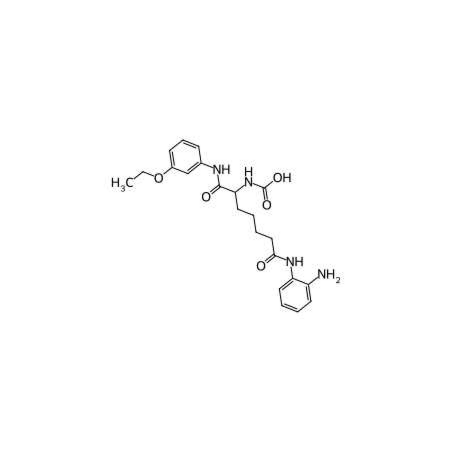 CCOc1cccc(NC(=O)C(CCCCC(=O)Nc2ccccc2N)NC(=O)O)c1